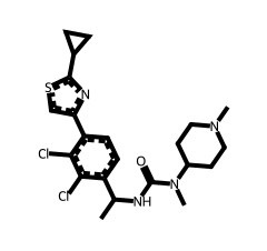 CC(NC(=O)N(C)C1CCN(C)CC1)c1ccc(-c2csc(C3CC3)n2)c(Cl)c1Cl